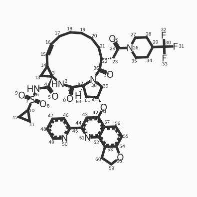 O=C1N[C@]2(C(=O)NS(=O)(=O)C3CC3)CC2C=CCCCCC[C@H](CC(=O)N2CCC(C(F)(F)F)CC2)C(=O)N2C[C@H](Oc3cc(-c4ccccn4)nc4c5c(ccc34)OCC5)C[C@@H]12